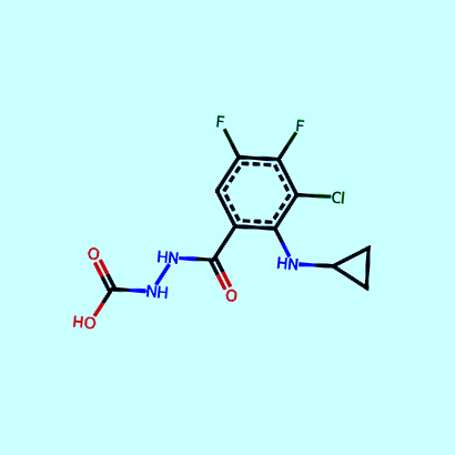 O=C(O)NNC(=O)c1cc(F)c(F)c(Cl)c1NC1CC1